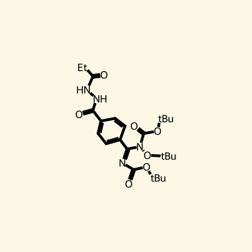 CCC(=O)NNC(=O)c1ccc(C(=NC(=O)OC(C)(C)C)N(OC(C)(C)C)C(=O)OC(C)(C)C)cc1